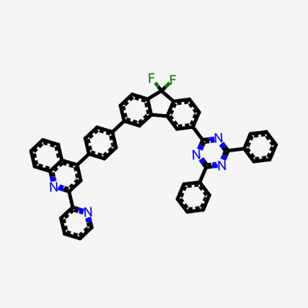 FC1(F)c2ccc(-c3ccc(-c4cc(-c5ccccn5)nc5ccccc45)cc3)cc2-c2cc(-c3nc(-c4ccccc4)nc(-c4ccccc4)n3)ccc21